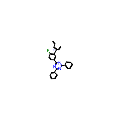 C=C/C=C(\C=C)c1cc(-c2nc(-c3ccccc3)nc(-c3ccccc3)n2)ccc1F